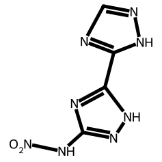 O=[N+]([O-])Nc1n[nH]c(-c2ncn[nH]2)n1